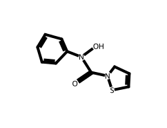 O=C(N1CC=CS1)N(O)c1ccccc1